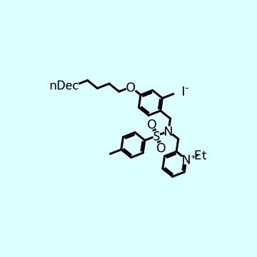 CCCCCCCCCCCCCCOc1ccc(CN(Cc2cccc[n+]2CC)S(=O)(=O)c2ccc(C)cc2)c(C)c1.[I-]